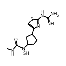 CNC(=O)N(S)C1CCC(c2csc(NC(=N)N)n2)C1